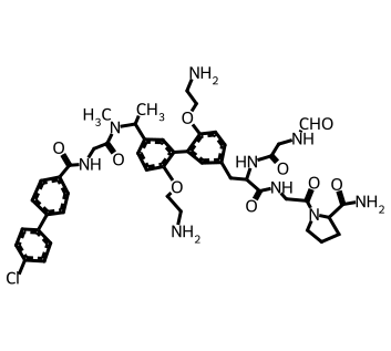 CC(c1ccc(OCCN)c(-c2cc(CC(NC(=O)CNC=O)C(=O)NCC(=O)N3CCCC3C(N)=O)ccc2OCCN)c1)N(C)C(=O)CNC(=O)c1ccc(-c2ccc(Cl)cc2)cc1